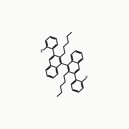 CCCCCc1c(-c2ccccc2F)cc2ccccc2c1-c1c(CCCCC)c(-c2ccccc2F)cc2ccccc12